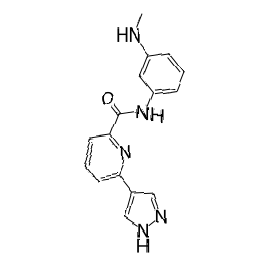 CNc1cccc(NC(=O)c2cccc(-c3cn[nH]c3)n2)c1